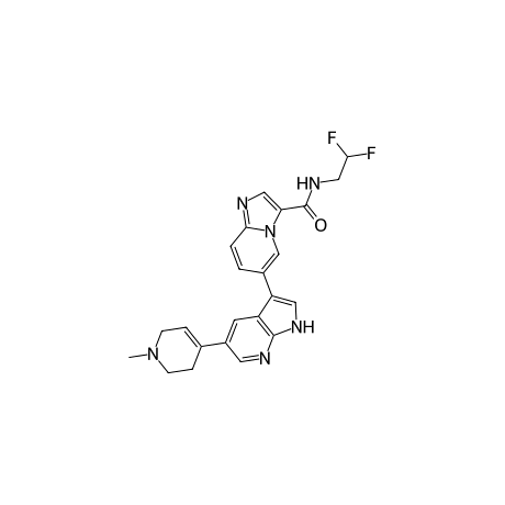 CN1CC=C(c2cnc3[nH]cc(-c4ccc5ncc(C(=O)NCC(F)F)n5c4)c3c2)CC1